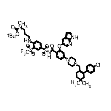 CN(CCCNc1ccc(S(=O)(=O)NC(=O)c2ccc(N3CCN(CC4=C(c5ccc(Cl)cc5)CC(C)(C)CC4)CC3)cc2Oc2cnc3[nH]ccc3c2)cc1S(=O)(=O)C(F)(F)F)C(=O)OC(C)(C)C